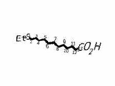 CCSCCCCCCCCCCCC(=O)O